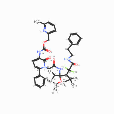 Cc1cccc(COC(=O)Nc2ccc(-c3ccccc3)n(CC(=O)NC(O[SiH](C)C)(C(C)C)C(C(C)(C)C)C(F)(F)C(=O)NCCc3ccccc3)c2=O)n1